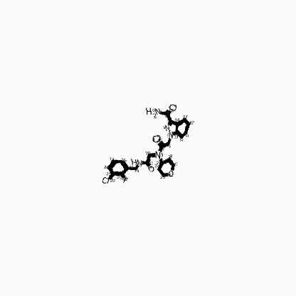 NC(=O)c1nn(CC(=O)N(CC(=O)NCc2cccc(Cl)c2F)C2CCOCC2)c2ccccc12